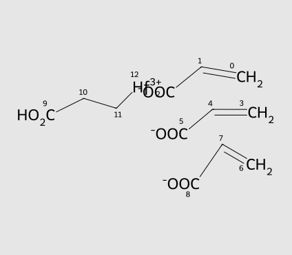 C=CC(=O)[O-].C=CC(=O)[O-].C=CC(=O)[O-].O=C(O)C[CH2][Hf+3]